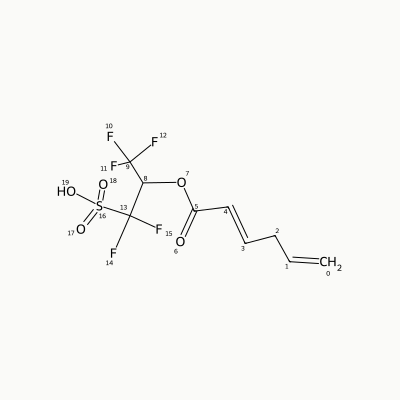 C=CC/C=C/C(=O)OC(C(F)(F)F)C(F)(F)S(=O)(=O)O